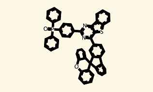 O=P(c1ccccc1)(c1ccccc1)c1ccc(-c2nc(-c3ccc4c(c3)C3(C5=CCCC=C5Oc5ccccc53)c3ccccc3-4)c3sc4ccccc4c3n2)cc1